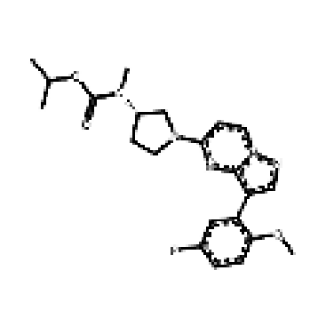 COc1ccc(F)cc1-c1cnn2ccc(N3CC[C@H](N(C)C(=O)OC(C)C)C3)nc12